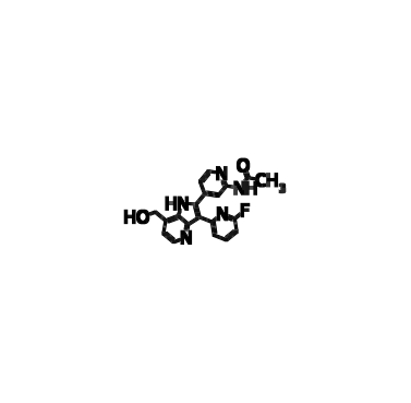 CC(=O)Nc1cc(-c2[nH]c3c(CO)ccnc3c2-c2cccc(F)n2)ccn1